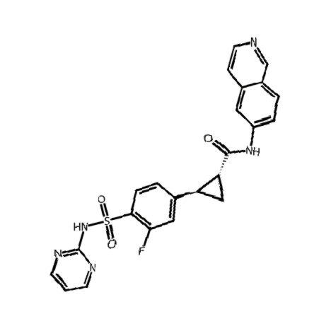 O=C(Nc1ccc2cnccc2c1)[C@@H]1C[C@H]1c1ccc(S(=O)(=O)Nc2ncccn2)c(F)c1